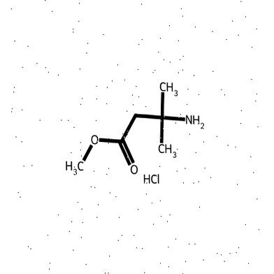 COC(=O)CC(C)(C)N.Cl